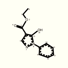 CCOC(=O)c1cnn(-c2ccccc2)c1O